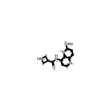 COc1ccc2nccc(NC(=O)C3CNC3)c2n1